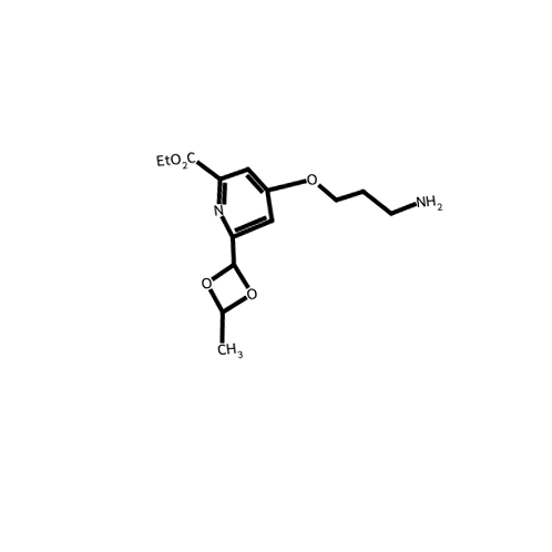 CCOC(=O)c1cc(OCCCN)cc(C2OC(C)O2)n1